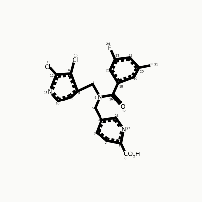 O=C(O)c1ccc(CN(Cc2ccnc(Cl)c2Cl)C(=O)c2cc(F)cc(F)c2)cn1